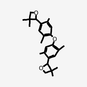 Cc1cc(C2OCC2(C)C)c(C)cc1Oc1cc(C)c(C2OCC2(C)C)cc1C